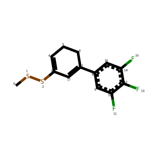 CSSC1=CCCC(c2cc(F)c(F)c(F)c2)=C1